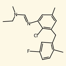 CCN(C)C=Nc1cc(C)cc(Cc2cc(F)ccc2C)c1Cl